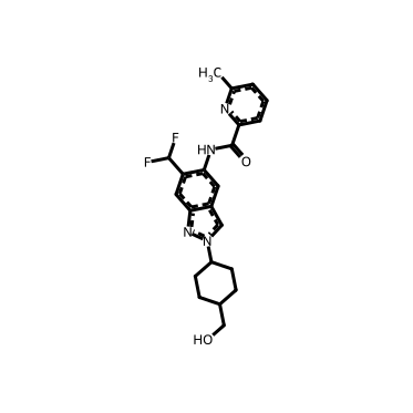 Cc1cccc(C(=O)Nc2cc3cn(C4CCC(CO)CC4)nc3cc2C(F)F)n1